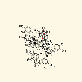 CCc1cc(C(C)C(C)(CC(CC(Cc2cc(C)c(O)c(C)c2)c2cc(C)c(O)c(C)c2)(CC(C)(c2cc(Cl)c(O)c(Cl)c2)c2cc(Cl)c(O)c(Cl)c2)C(c2cc(Br)c(O)c(Br)c2)(c2cc(Br)c(O)c(Br)c2)C(CC(=CCc2ccc(O)cc2)c2ccc(O)cc2)(CC(CCc2ccc(O)c(Cl)c2)c2ccc(O)c(Cl)c2)CC(C)(c2ccc(O)c(C)c2)c2ccc(O)c(C)c2)c2cc(CC)c(O)c(CC)c2)cc(CC)c1O